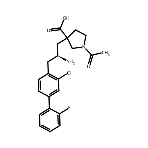 CC(=O)N1CCC(C[C@@H](N)Cc2ccc(-c3ccccc3F)cc2Cl)(C(=O)O)C1